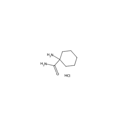 Cl.NC(=O)C1(N)CCCCC1